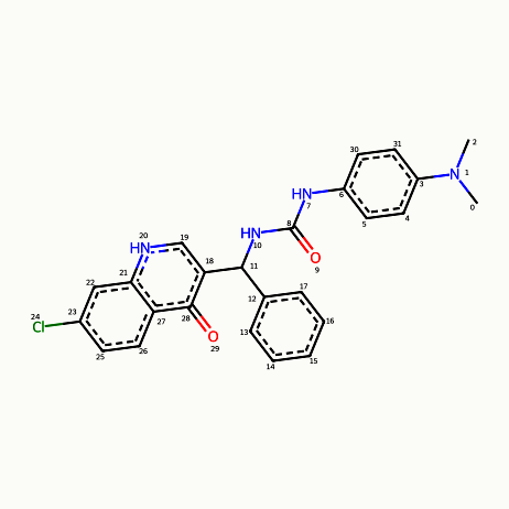 CN(C)c1ccc(NC(=O)NC(c2ccccc2)c2c[nH]c3cc(Cl)ccc3c2=O)cc1